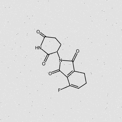 O=C1CCC(N2C(=O)C3=C(C2=O)C(F)=CCC3)C(=O)N1